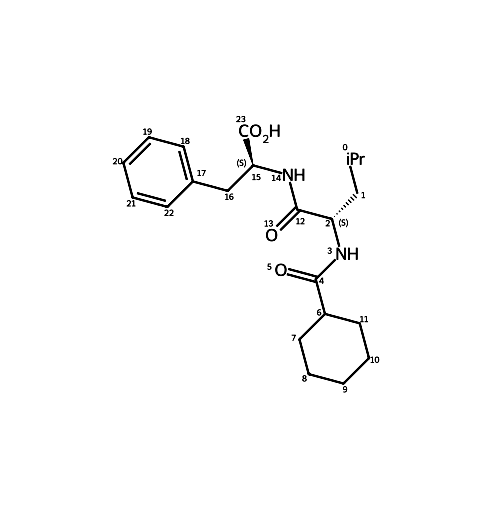 CC(C)C[C@H](NC(=O)C1CCCCC1)C(=O)N[C@@H](Cc1ccccc1)C(=O)O